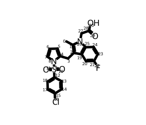 Cc1c(Cc2cccn2S(=O)(=O)c2ccc(Cl)cc2)c2cc(F)ccc2n1CC(=O)O